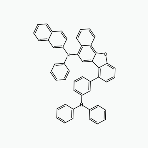 c1ccc(N(c2ccccc2)c2cccc(-c3cccc4oc5c6ccccc6c(N(c6ccccc6)c6ccc7ccccc7c6)cc5c34)c2)cc1